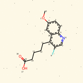 COc1ccc2ncc(F)c(CCCCC(=O)O)c2c1